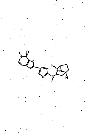 CN(c1ccc(-c2cc3ccn(C)c(=O)c3s2)nn1)[C@@H]1C[C@H]2CCC(N2)[C@@H]1F